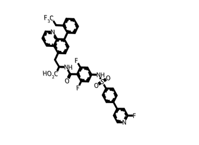 O=C(NC(Cc1ccc(-c2ccccc2CC(F)(F)F)c2ncccc12)C(=O)O)c1c(F)cc(NS(=O)(=O)c2ccc(-c3ccnc(F)c3)cc2)cc1F